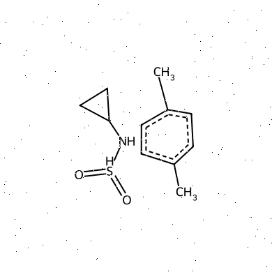 Cc1ccc(C)cc1.O=[SH](=O)NC1CC1